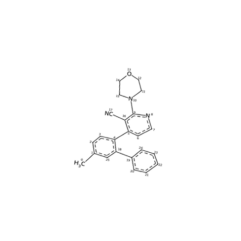 Cc1ccc(-c2ccnc(N3CCOCC3)c2C#N)c(-c2ccccc2)c1